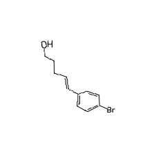 OCCCC=Cc1ccc(Br)cc1